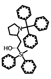 C[Si](c1ccccc1)(c1ccccc1)[C@H](O)CC1CCCN1C(c1ccccc1)(c1ccccc1)c1ccccc1